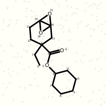 CCC1(C(=O)OC2CCCCC2)CCC23OC2(C1)O3